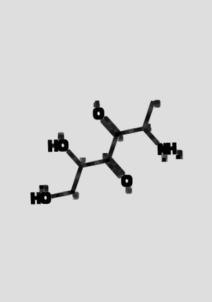 CC(N)C(=O)C(=O)C(O)CO